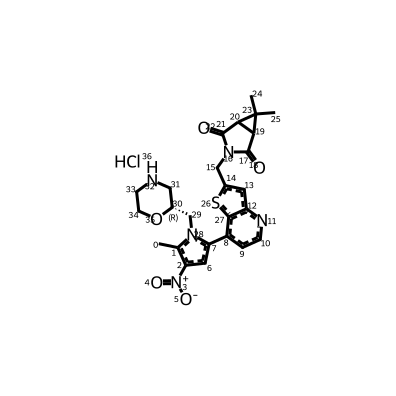 Cc1c([N+](=O)[O-])cc(-c2ccnc3cc(CN4C(=O)C5C(C4=O)C5(C)C)sc23)n1C[C@H]1CNCCO1.Cl